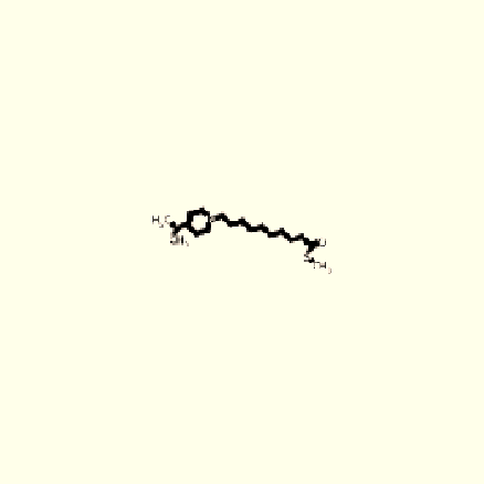 CSC(=O)CCCCCCCCCN1CCC(C(C)C)CC1